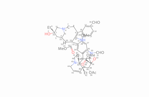 CC[C@]1(O)C[C@H]2CN(CCc3c([nH]c4ccc(C=O)cc34)[C@@](C(=O)OC)(c3cc4c(cc3OC)N(C=O)[C@@]35O[C@]3(C(=O)OC)[C@H](OC(C)=O)[C@]3(CC)C=CCN6CC[C@]45[C@@H]63)C2)C1